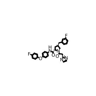 O=C(Nc1ccc(Oc2ccc(F)cc2)cc1)[C@@H]1C[C@@H](Cc2cccc(F)c2)CN1C(=O)Cn1nccn1